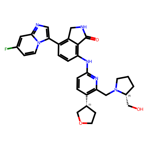 O=C1NCc2c(-c3cnc4cc(F)ccn34)ccc(Nc3ccc([C@@H]4CCOC4)c(CN4CCC[C@@H]4CO)n3)c21